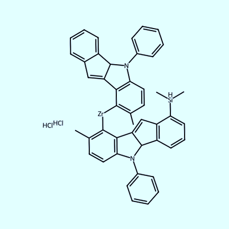 Cc1ccc2c([c]1[Zr][c]1c(C)ccc3c1C1=Cc4c(cccc4[SiH](C)C)C1N3c1ccccc1)C1=Cc3ccccc3C1N2c1ccccc1.Cl.Cl